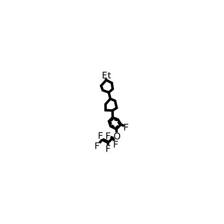 CCC1CCC(C2CCC(c3ccc(OC(F)(F)C(F)=C(F)F)c(F)c3)CC2)CC1